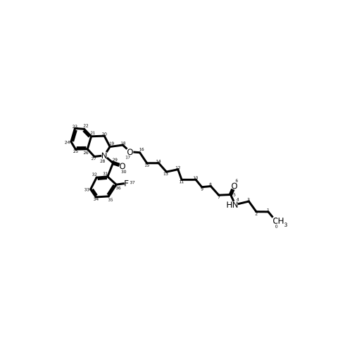 CCCCNC(=O)CCCCCCCCCCOCC1Cc2ccccc2CN1C(=O)c1ccccc1F